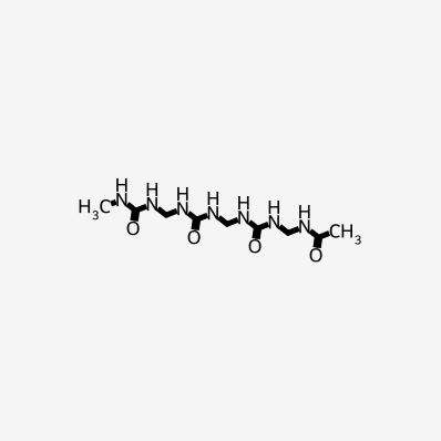 CNC(=O)NCNC(=O)NCNC(=O)NCNC(C)=O